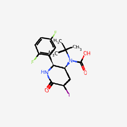 CC(C)(C)N(C(=O)O)[C@H]1CC(I)C(=O)N[C@H]1c1cc(F)ccc1F